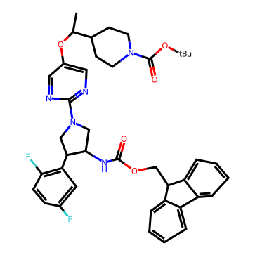 CC(Oc1cnc(N2CC(NC(=O)OCC3c4ccccc4-c4ccccc43)C(c3cc(F)ccc3F)C2)nc1)C1CCN(C(=O)OC(C)(C)C)CC1